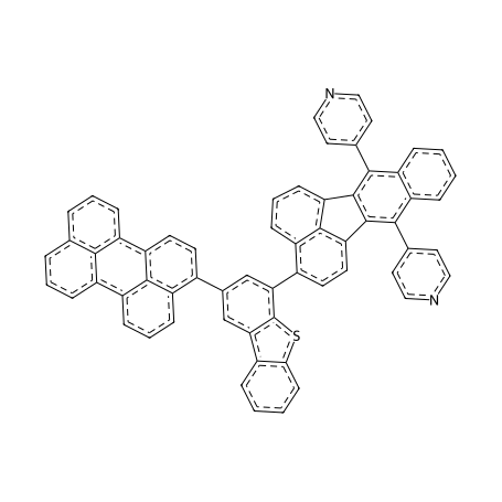 c1ccc2c(c1)sc1c(-c3ccc4c5c(cccc35)-c3c-4c(-c4ccncc4)c4ccccc4c3-c3ccncc3)cc(-c3ccc4c5cccc6cccc(c7cccc3c74)c65)cc12